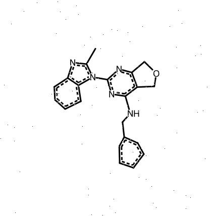 Cc1nc2ccccc2n1-c1nc2c(c(NCc3ccccc3)n1)COC2